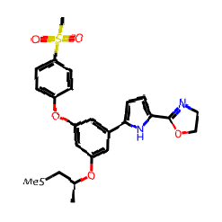 CSC[C@H](C)Oc1cc(Oc2ccc(S(C)(=O)=O)cc2)cc(-c2ccc(C3=NCCO3)[nH]2)c1